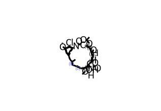 COc1cc2cc(c1Cl)N(C)C(=O)C[C@H](OC(C)=O)[C@]1(C)O[C@H]1[C@H](C)[C@@H]1C[C@@](O)(NC(=O)O1)[C@H](OC)/C=C/C=C(\C)C2